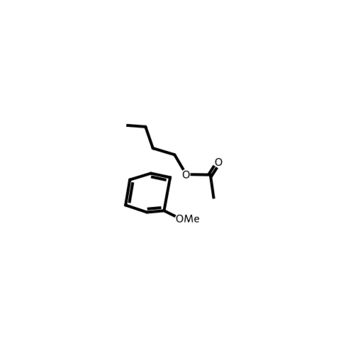 CCCCOC(C)=O.COc1ccccc1